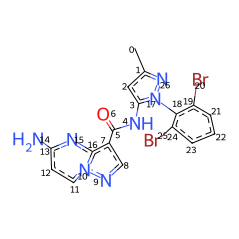 Cc1cc(NC(=O)c2cnn3ccc(N)nc23)n(-c2c(Br)cccc2Br)n1